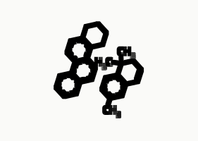 Cc1ccc2c(c1)C=CCC2(C)C.c1ccc2c(c1)ccc1c3c(ccc12)CCCC3